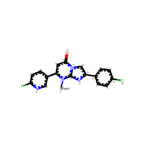 CCCCCn1c(-c2ccc(F)nc2)cc(=O)n2cc(-c3ccc(Cl)cc3)nc12